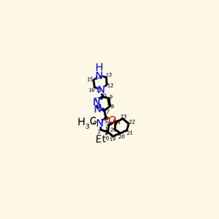 CCC1(CN(C)C(=O)c2ccc(N3CCNCC3)nn2)CC2CCCC(C2)C1